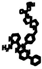 CC(C)(C)OC(=O)N1CC[C@]2(CCN(Cc3ccc(-n4c(-c5cccnc5N)nc5ccc(-c6ccccc6)nc54)cc3)C2)C1